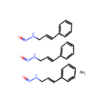 O=NNCC=Cc1ccccc1.O=NNCC=Cc1ccccc1.O=NNCC=Cc1ccccc1.[AlH3]